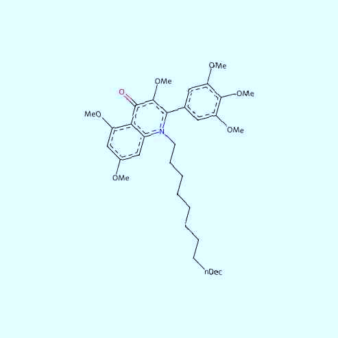 CCCCCCCCCCCCCCCCCCn1c(-c2cc(OC)c(OC)c(OC)c2)c(OC)c(=O)c2c(OC)cc(OC)cc21